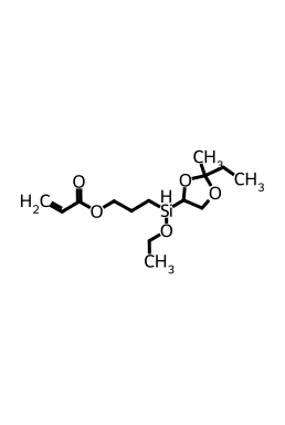 C=CC(=O)OCCC[SiH](OCC)C1COC(C)(CC)O1